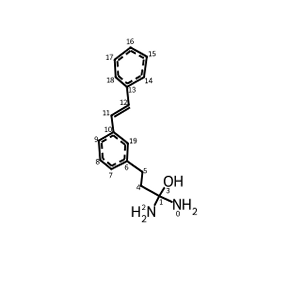 NC(N)(O)CCc1cccc(C=Cc2ccccc2)c1